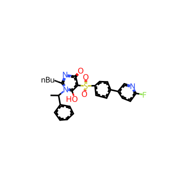 CCCCc1nc(=O)c(S(=O)(=O)c2ccc(-c3ccc(F)nc3)cc2)c(O)n1C(C)c1ccccc1